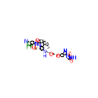 CC1(C)C(=O)N(c2ccc(C#N)c(C(F)(F)F)c2)C(=S=O)N1c1ccc(NCCCOCCCOc2ccc3c(-n4ccc(=O)[nH]c4=O)cncc3c2)cc1